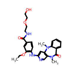 CCOc1cc(C(=O)NCCOCCO)ccc1Nc1cc2c(cn1)N(C)C(=O)c1ccccc1N2C